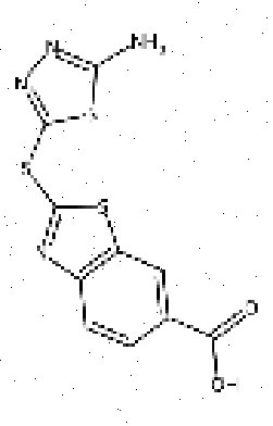 Nc1nnc(Sc2nc3ccc(C(=O)O)cc3s2)s1